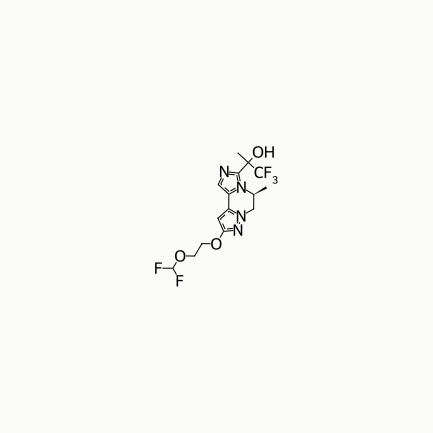 C[C@H]1Cn2nc(OCCOC(F)F)cc2-c2cnc(C(C)(O)C(F)(F)F)n21